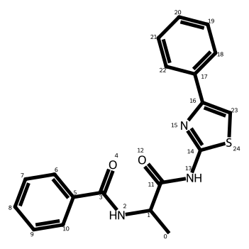 CC(NC(=O)c1ccccc1)C(=O)Nc1nc(-c2ccccc2)cs1